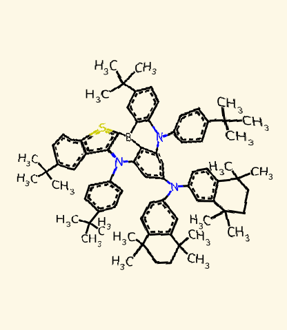 CC(C)(C)c1ccc(N2c3ccc(C(C)(C)C)cc3B3c4sc5ccc(C(C)(C)C)cc5c4N(c4ccc(C(C)(C)C)cc4)c4cc(N(c5ccc6c(c5)C(C)(C)CCC6(C)C)c5ccc6c(c5)C(C)(C)CCC6(C)C)cc2c43)cc1